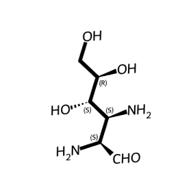 N[C@H]([C@H](O)[C@H](O)CO)[C@H](N)C=O